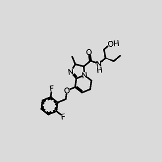 CC[C@H](CO)NC(=O)C1C(C)N=C2C(OCc3c(F)cccc3F)=CCCN21